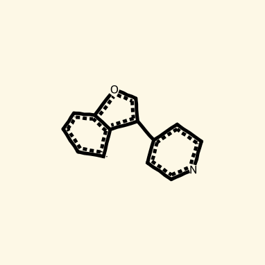 [c]1cccc2occ(-c3ccncc3)c12